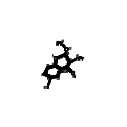 CCCc1c(OC(C)C)oc2ccc(I)cc2c1=O